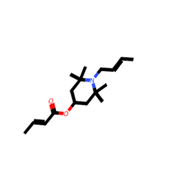 C/C=C/CN1C(C)(C)CC(OC(=O)/C=C/C)CC1(C)C